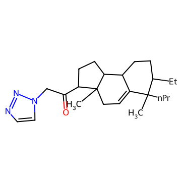 CCCC1(C)C2=CCC3(C)C(C(=O)Cn4ccnn4)CCC3C2CCC1CC